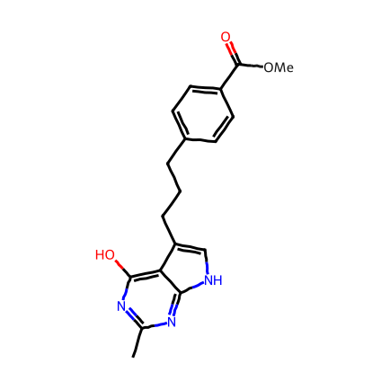 COC(=O)c1ccc(CCCc2c[nH]c3nc(C)nc(O)c23)cc1